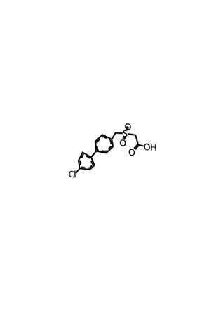 O=C(O)CS(=O)(=O)Cc1ccc(-c2ccc(Cl)cc2)cc1